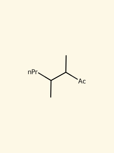 CCCC(C)C(C)C(C)=O